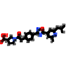 Cc1cc(-c2nc(-c3ccc(CC(=O)N4CCC(C(=O)O)C4)cc3)no2)cc(CC(C)C)n1